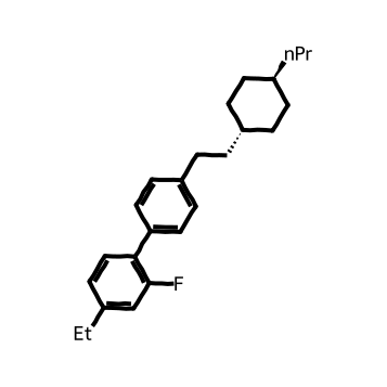 CCC[C@H]1CC[C@H](CCc2ccc(-c3ccc(CC)cc3F)cc2)CC1